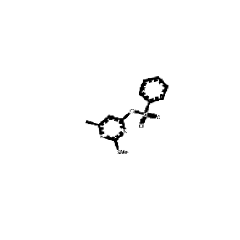 CSc1nc(C)cc(OS(=O)(=O)c2ccccc2)n1